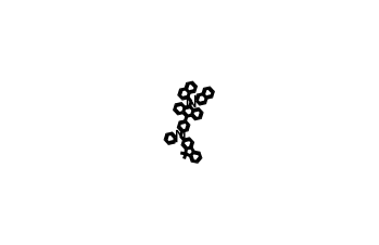 CC1(C)c2ccccc2-c2ccc(N(c3ccccc3)c3ccc(-c4c5ccccc5c(N(c5ccc6ccccc6c5)c5cccc6ccccc56)c5ccccc45)cc3)cc21